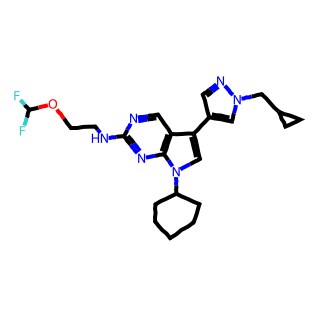 FC(F)OCCNc1ncc2c(-c3cnn(CC4CC4)c3)cn(C3CCCCC3)c2n1